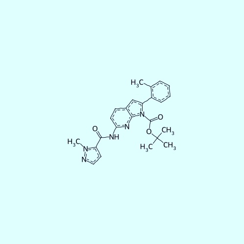 Cc1ccccc1-c1cc2ccc(NC(=O)c3ccnn3C)nc2n1C(=O)OC(C)(C)C